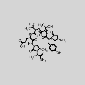 CC(C)[C@@H](NC(=O)[C@H](NC(=O)[C@@H](Cc1ccc(O)cc1)N1C[C@H](N)CC1=O)[C@@H](C)O)C(=O)N[C@H](CCC(=O)O)C(=O)N[C@@H]1CC(C)N([C@H](C)C(N)=O)C1=O